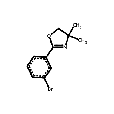 CC1(C)COC(c2cccc(Br)c2)=N1